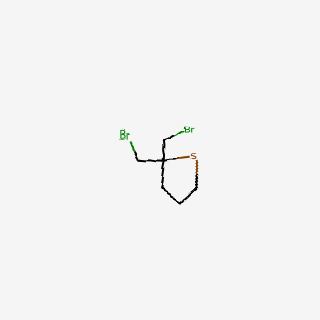 BrCC1(CBr)CCCS1